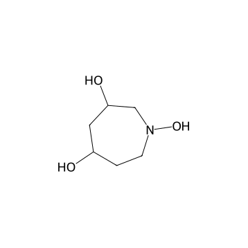 OC1CCN(O)CC(O)C1